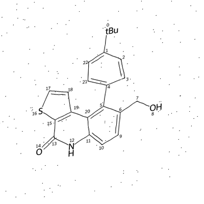 CC(C)(C)c1ccc(-c2c(CO)ccc3[nH]c(=O)c4sccc4c23)cc1